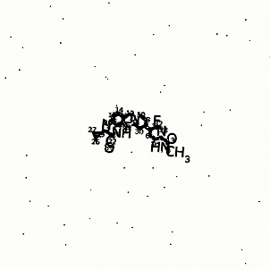 CNC(=O)C1C=CC(=C2C=CN(Cc3ccc4c(c3F)NC(=C=O)C(C3CC3)=N4)CC2)C(F)=N1